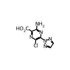 Nc1nc(-n2nccn2)c(Cl)nc1C(=O)O